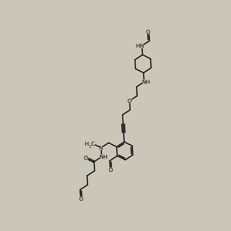 CN(Cc1c(C#CCCOCCNC2CCC(NC=O)CC2)cccc1C=O)NC(=O)CCCC=O